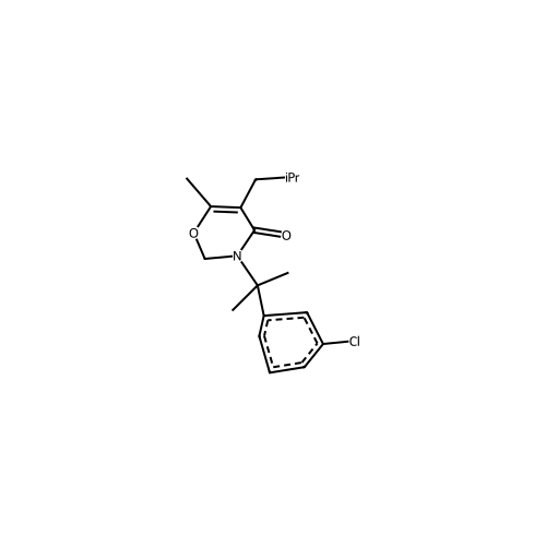 CC1=C(CC(C)C)C(=O)N(C(C)(C)c2cccc(Cl)c2)CO1